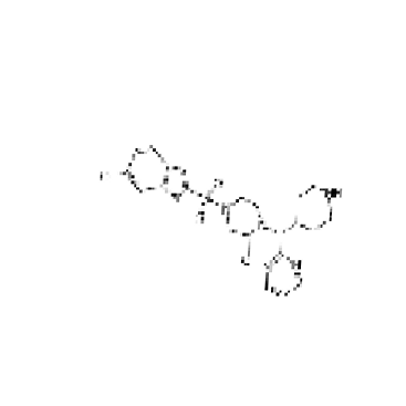 O=C1CN(S(=O)(=O)c2cc3ccc(Cl)cc3s2)CCN1C(c1ncccn1)C1CCNCC1